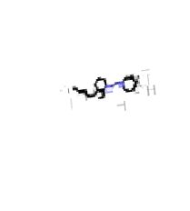 C=C1[C@H](O)C/C(=C/C=C2\CCC[C@]3(C)[C@@H]([C@H](C)CCCC(C)C)CC[C@@H]23)C(C)C(CC)[C@H]1O